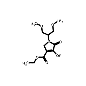 CCOC(=O)C1=C(O)C(=O)N(C(COC)COC)C1